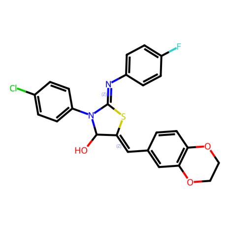 OC1/C(=C/c2ccc3c(c2)OCCO3)S/C(=N\c2ccc(F)cc2)N1c1ccc(Cl)cc1